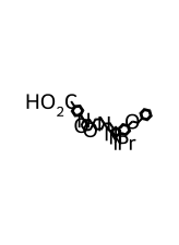 CC(C)n1nc(CN2CCC3(CC2)CN(c2ccc(C(=O)O)cc2)OCO3)c2cc(OCc3ccccc3)ccc21